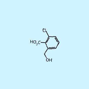 O=C(O)c1c(Cl)cccc1CO